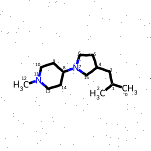 CC(C)CC1CCN(C2CCN(C)CC2)C1